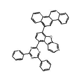 c1ccc(-c2nc(-c3ccccc3)nc(-c3ccc(-c4cc5c6ccccc6ccc5c5ccccc45)c4oc5cnccc5c34)n2)cc1